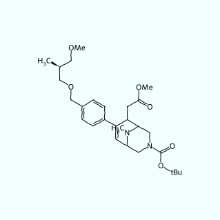 COC[C@H](C)COCc1ccc(C2=CC3CN(C(=O)OC(C)(C)C)CC(C2CC(=O)OC)N3C)cc1